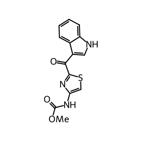 COC(=O)Nc1csc(C(=O)c2c[nH]c3ccccc23)n1